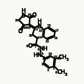 Cc1ccc(NNC(=O)CCC(Nc2ccccc2)=C2C(=O)CNC2=O)cc1C